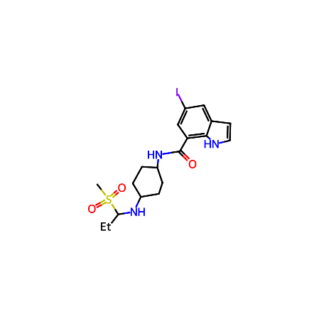 CCC(NC1CCC(NC(=O)c2cc(I)cc3cc[nH]c23)CC1)S(C)(=O)=O